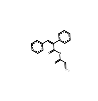 C=CC(=O)OC(=O)C(=Cc1ccccc1)c1ccccc1